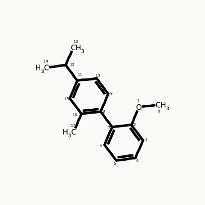 COc1ccccc1-c1ccc(C(C)C)cc1C